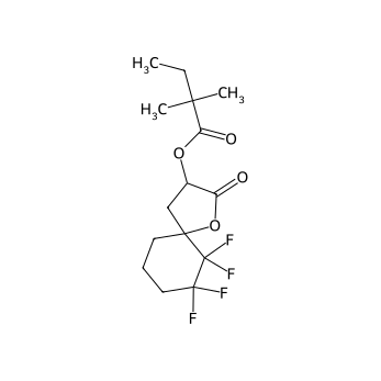 CCC(C)(C)C(=O)OC1CC2(CCCC(F)(F)C2(F)F)OC1=O